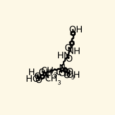 CC[N+]1=C(/C=C/C=C/C=C/C=C2/N(CCCCCC(=O)NCCNC(=O)Cc3ccc(/C=C/c4ccc(O)cc4)cc3)c3ccc(S(=O)(=O)O)cc3C2(C)C)C(C)(C)c2cc(S(=O)(=O)O)ccc21